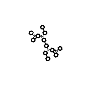 C1=CCC(n2c3ccccc3c3cc(N(c4ccc(-c5ccc(N(c6cccc(-c7ccccc7)c6)c6ccc7c(c6)c6ccccc6n7-c6ccccc6)cc5)cc4)c4cccc(-c5ccccc5)c4)ccc32)C=C1